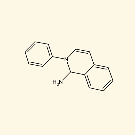 NC1c2ccccc2C=CN1c1ccccc1